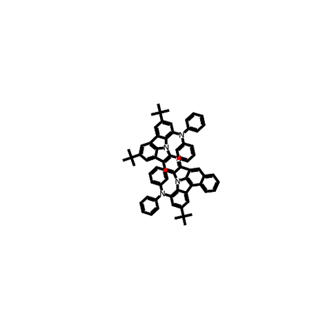 CC(C)(C)c1cc(N(c2ccccc2)c2ccccc2)c2c(c1)c1c3ccccc3cc3c4nc5c(cc4n2c31)c1cc(C(C)(C)C)cc2c3cc(C(C)(C)C)cc(N(c4ccccc4)c4ccccc4)c3n5c12